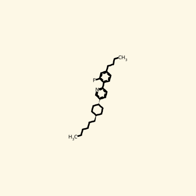 CCCCCC[C@H]1CC[C@H](c2ccc(-c3ccc(CCCC)cc3F)nc2)CC1